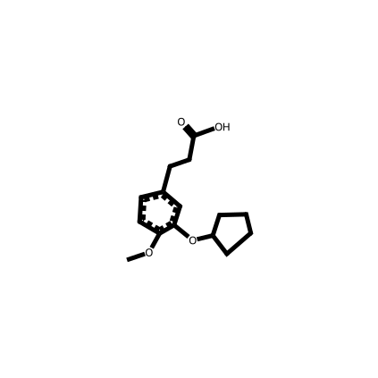 COc1ccc(CCC(=O)O)cc1OC1CCCC1